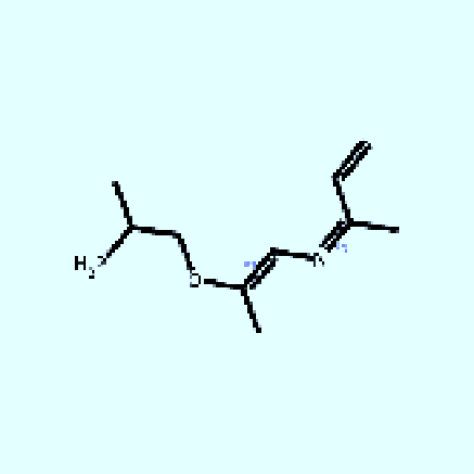 C=C/C(C)=N\C=C(/C)OCC(C)P